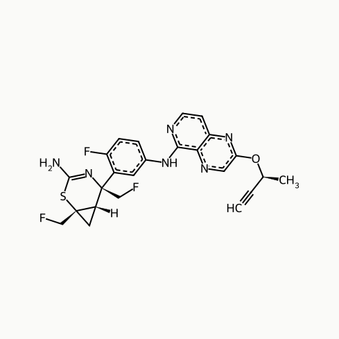 C#C[C@H](C)Oc1cnc2c(Nc3ccc(F)c([C@@]4(CF)N=C(N)S[C@@]5(CF)C[C@H]54)c3)nccc2n1